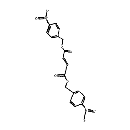 O=C(/C=C/C(=O)OCc1ccc([N+](=O)[O-])cc1)OCc1ccc([N+](=O)[O-])cc1